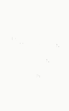 COc1cccc(C(C#N)c2ccc(Br)cn2)c1